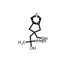 CCCCCCCC(C)(O)CC1(CO)Cc2cscc2C1